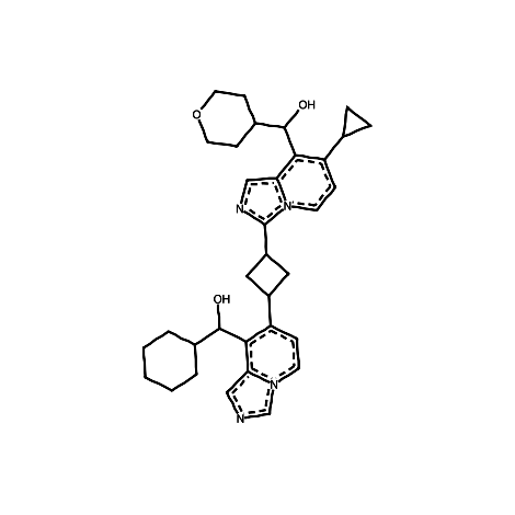 OC(c1c(C2CC(c3ncc4c(C(O)C5CCOCC5)c(C5CC5)ccn34)C2)ccn2cncc12)C1CCCCC1